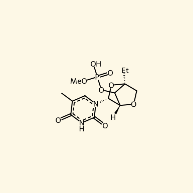 CC[C@]12CO[C@@H](C1OP(=O)(O)OC)[C@H](n1cc(C)c(=O)[nH]c1=O)O2